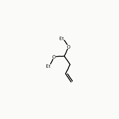 C=CC[C](OCC)OCC